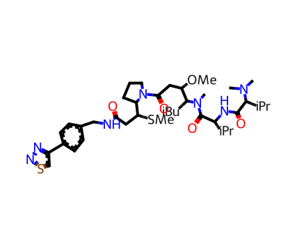 CCC(C)C(C(CC(=O)N1CCCC1C(CC(=O)NCc1ccc(-c2csnn2)cc1)SC)OC)N(C)C(=O)C(NC(=O)C(C(C)C)N(C)C)C(C)C